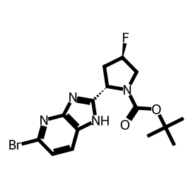 CC(C)(C)OC(=O)N1C[C@H](F)C[C@H]1c1nc2nc(Br)ccc2[nH]1